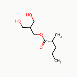 CCCC(C)C(=O)OCC(CO)CO